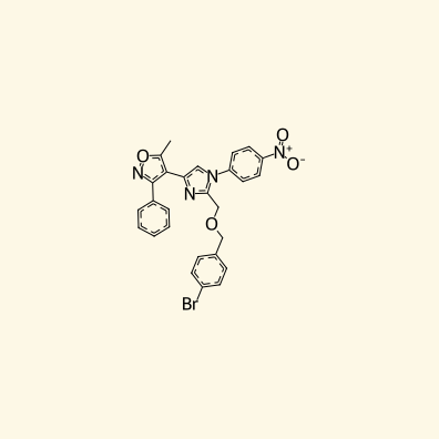 Cc1onc(-c2ccccc2)c1-c1cn(-c2ccc([N+](=O)[O-])cc2)c(COCc2ccc(Br)cc2)n1